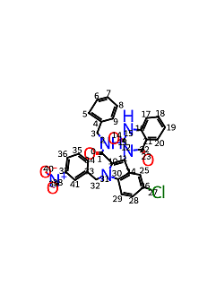 O=C(NCc1ccccc1)c1c(-n2c(=O)[nH]c3ccccc3c2=O)c2cc(Cl)ccc2n1Cc1cccc([N+](=O)[O-])c1